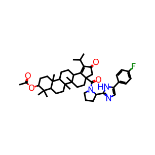 CC(=O)OC1CCC2(C)C(CCC3(C)C2CCC2C4=C(C(C)C)C(=O)CC4(C(=O)N4CCCC4c4ncc(-c5ccc(F)cc5)[nH]4)CCC23C)C1(C)C